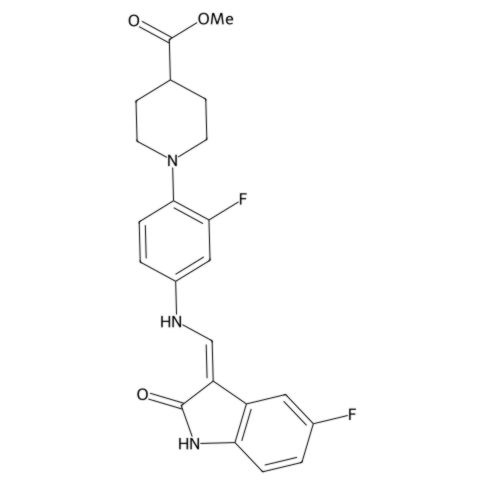 COC(=O)C1CCN(c2ccc(NC=C3C(=O)Nc4ccc(F)cc43)cc2F)CC1